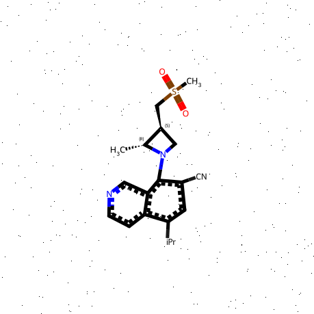 CC(C)c1cc(C#N)c(N2C[C@H](CS(C)(=O)=O)[C@H]2C)c2cnccc12